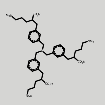 CNCCCC(Cc1cccc(CN(Cc2cccc(CC(CCCNC)C(=O)O)c2)Cc2cccc(CC(CCCNC)C(=O)O)c2)c1)C(=O)O